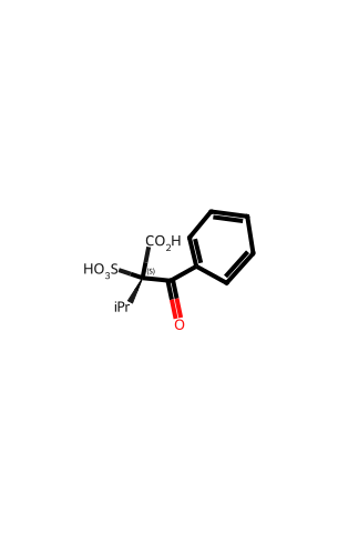 CC(C)[C@@](C(=O)O)(C(=O)c1ccccc1)S(=O)(=O)O